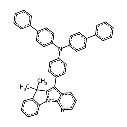 CC1(C)c2ccccc2-n2c1c(-c1ccc(N(c3ccc(-c4ccccc4)cc3)c3ccc(-c4ccccc4)cc3)cc1)c1cccnc12